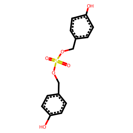 O=S(=O)(OCc1ccc(O)cc1)OCc1ccc(O)cc1